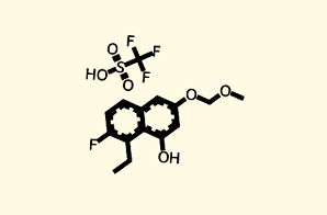 CCc1c(F)ccc2cc(OCOC)cc(O)c12.O=S(=O)(O)C(F)(F)F